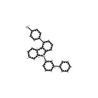 Clc1ccc(-c2cccc3c2c2ccccc2n3-c2cccc(-c3ccccc3)c2)cc1